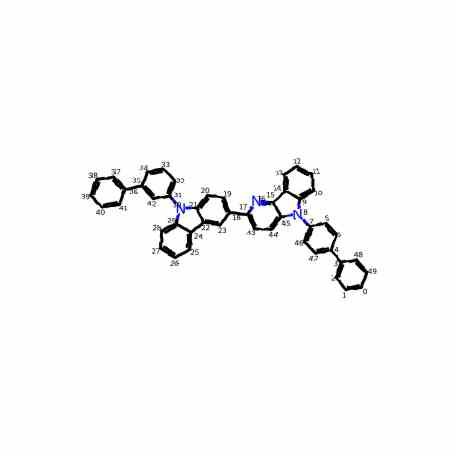 c1ccc(-c2ccc(-n3c4ccccc4c4nc(-c5ccc6c(c5)c5ccccc5n6-c5cccc(-c6ccccc6)c5)ccc43)cc2)cc1